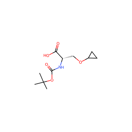 CC(C)(C)OC(=O)N[C@@H](COC1CC1)C(=O)O